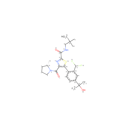 C[C@H]1CCCN1C(=O)c1nc(C(=O)NCC(C)(C)C(=O)O)sc1-c1ccc(C(O)(C(F)(F)F)C(F)(F)F)cc1C(F)F